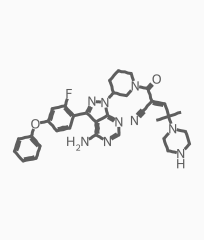 CC(C)(/C=C(\C#N)C(=O)N1CCCC(n2nc(-c3ccc(Oc4ccccc4)cc3F)c3c(N)ncnc32)C1)N1CCNCC1